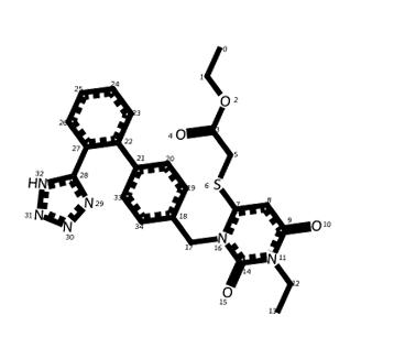 CCOC(=O)CSc1cc(=O)n(CC)c(=O)n1Cc1ccc(-c2ccccc2-c2nnn[nH]2)cc1